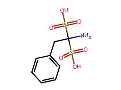 NC(Cc1ccccc1)(S(=O)(=O)O)S(=O)(=O)O